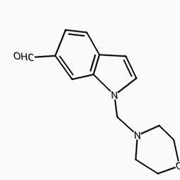 O=Cc1ccc2ccn(CN3CCOCC3)c2c1